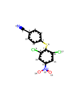 N#Cc1ccc(Sc2c(Cl)cc([N+](=O)[O-])cc2Cl)cc1